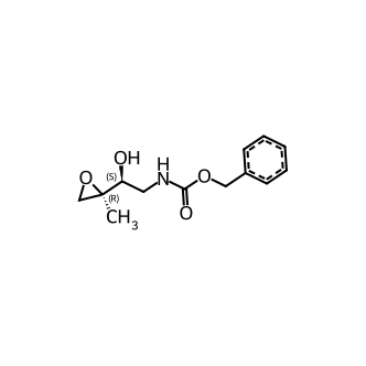 C[C@]1([C@@H](O)CNC(=O)OCc2ccccc2)CO1